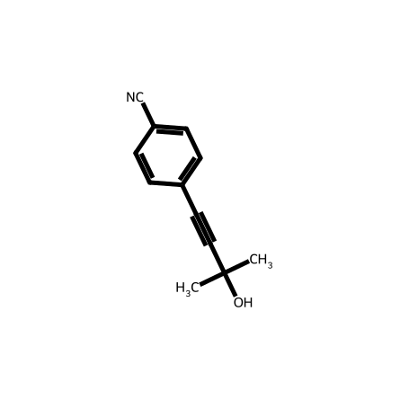 CC(C)(O)C#Cc1ccc(C#N)cc1